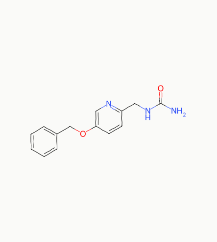 NC(=O)NCc1ccc(OCc2ccccc2)cn1